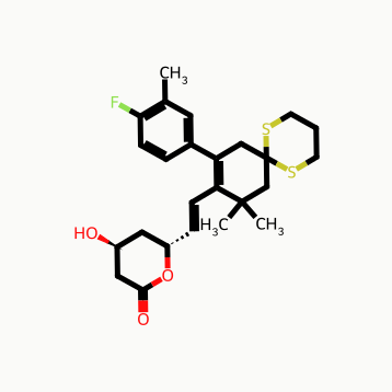 Cc1cc(C2=C(C=C[C@H]3C[C@H](O)CC(=O)O3)C(C)(C)CC3(C2)SCCCS3)ccc1F